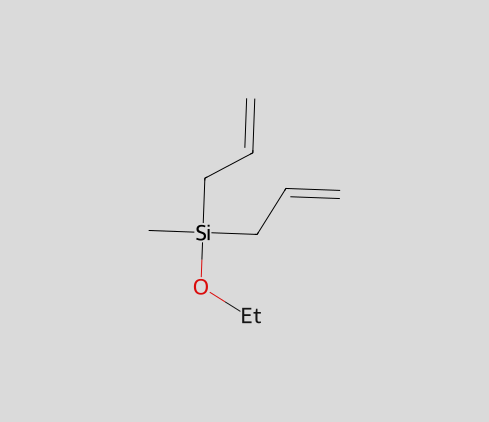 C=CC[Si](C)(CC=C)OCC